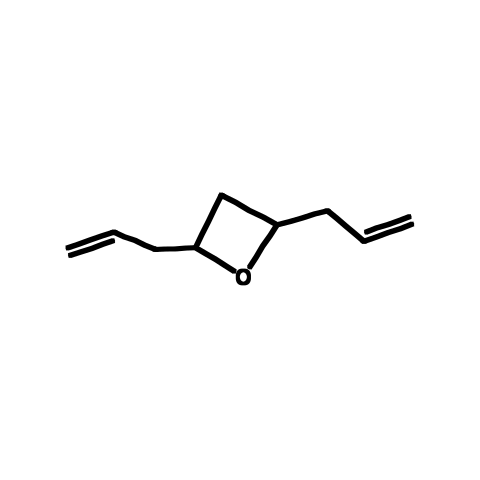 C=CCC1CC(CC=C)O1